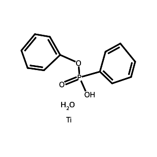 O.O=P(O)(Oc1ccccc1)c1ccccc1.[Ti]